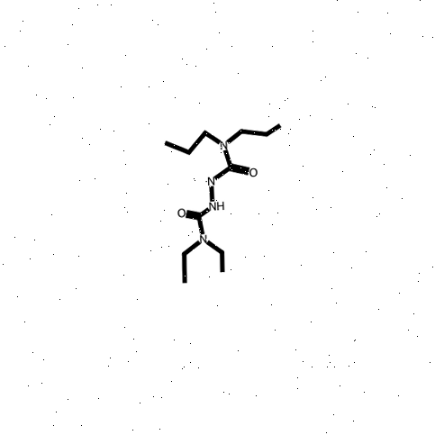 CCCN(CCC)C(=O)[N]NC(=O)N(CC)CC